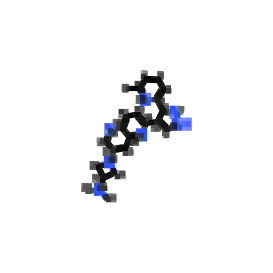 Cc1cccc(-c2n[nH]cc2-c2ccc3ncc(N4CC(N(C)C)C4)cc3n2)n1